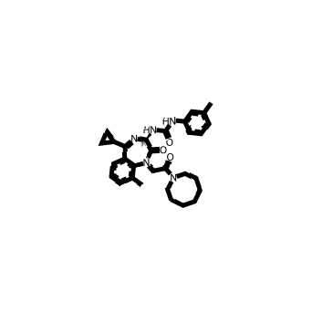 Cc1cccc(NC(=O)N[C@@H]2N=C(C3CC3)c3cccc(C)c3N(CC(=O)N3CCCCCCC3)C2=O)c1